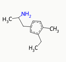 CCc1cc(CC(C)N)ccc1C